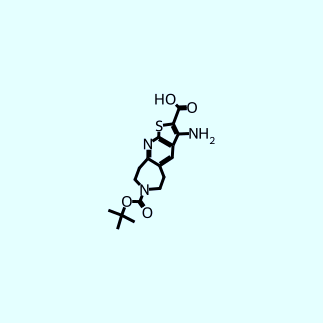 CC(C)(C)OC(=O)N1CCc2cc3c(N)c(C(=O)O)sc3nc2CC1